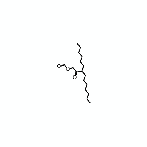 CCCCCCCC(CCCCCC)C(=O)COC=O